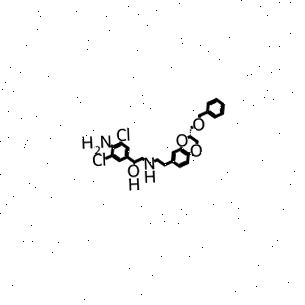 Nc1c(Cl)cc([C@@H](O)CNCCc2ccc3c(c2)O[C@H](COCc2ccccc2)CO3)cc1Cl